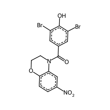 O=C(c1cc(Br)c(O)c(Br)c1)N1CCOc2ccc([N+](=O)[O-])cc21